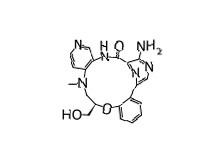 CN1C[C@H](CO)Oc2ccccc2-c2cnc(N)c(n2)C(=O)Nc2cnccc21